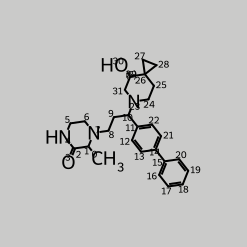 CC1C(=O)NCCN1CCC(c1ccc(-c2ccccc2)cc1)N1CCC2(CC2)[C@H](O)C1